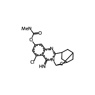 CNC(=O)Oc1cc(Cl)c2c(=N)n3c(nc2c1)C1CC2CC(C1)CC3C2